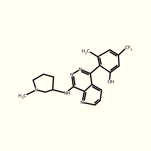 Cc1cc(C(F)(F)F)cc(O)c1-c1nnc(NC2CCCN(C)C2)c2ncccc12